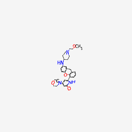 COCCN1CCC(Nc2ccc3c(c2)Cc2cccc(-c4cc(N5CCOCC5)cc(=O)[nH]4)c2O3)CC1